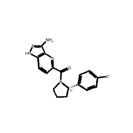 Nc1n[nH]c2ccc(C(=O)N3CCC[C@H]3c3ccc(Cl)cc3)nc12